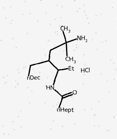 CCCCCCCCCCCC(CC(C)(C)N)C(CC)NC(=O)CCCCCCC.Cl